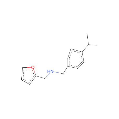 CC(C)c1ccc(CNCc2ccco2)cc1